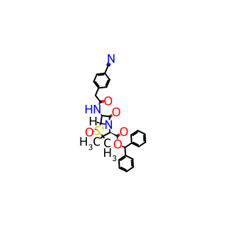 CC1(C)[C@H](C(=O)OC(c2ccccc2)c2ccccc2)N2C(=O)[C@@H](NC(=O)Cc3ccc(C#N)cc3)[C@H]2[S@@+]1[O-]